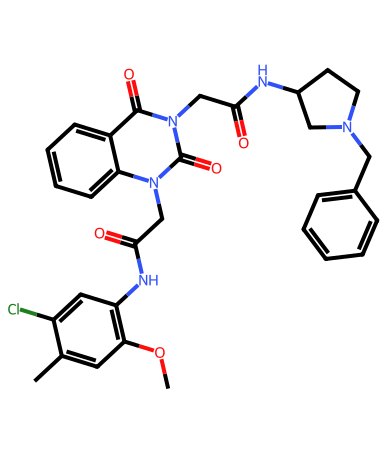 COc1cc(C)c(Cl)cc1NC(=O)Cn1c(=O)n(CC(=O)NC2CCN(Cc3ccccc3)C2)c(=O)c2ccccc21